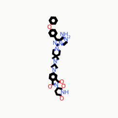 Nc1nccn2c(N3CCC4(CC3)CN(C3CN(c5ccc6c(c5)C(=O)N(C5CCC(=O)NC5=O)C6=O)C3)C4)nc(-c3ccc(Oc4ccccc4)cc3)c12